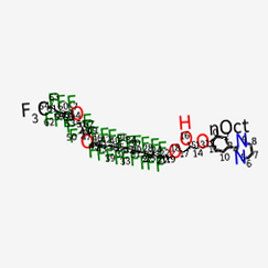 CCCCCCCCc1cc(-c2ncccn2)ccc1OCC(O)COCC(F)(F)C(F)(F)C(F)(F)C(F)(F)C(F)(F)C(F)(F)C(F)(F)C(F)(F)C(F)(F)OC(F)(F)C(F)(F)OC(F)(F)C(F)(F)C(F)(F)C(F)(F)F